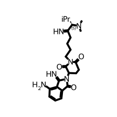 CC(C)[C@@H](C(=N)CCCCN1C(=O)CCC(N2C(=N)c3c(N)cccc3C2=O)C1=O)N(C)C